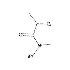 CC(Cl)C(=O)N(C)C(C)C